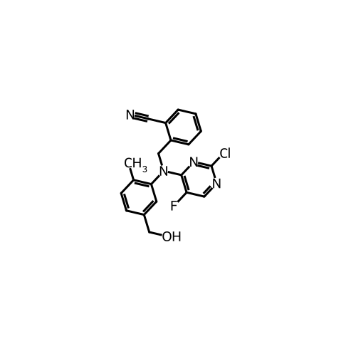 Cc1ccc(CO)cc1N(Cc1ccccc1C#N)c1nc(Cl)ncc1F